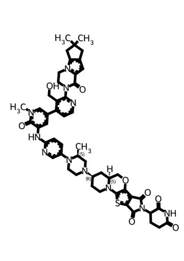 C[C@H]1CN([C@@H]2CCN3c4sc5c(c4OC[C@@H]3C2)C(=O)N(C2CCC(=O)NC2=O)C5=O)CCN1c1ccc(Nc2cc(-c3ccnc(N4CCn5c(cc6c5CC(C)(C)C6)C4=O)c3CO)cn(C)c2=O)nc1